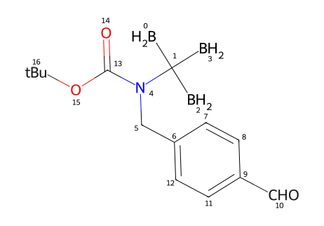 BC(B)(B)N(Cc1ccc(C=O)cc1)C(=O)OC(C)(C)C